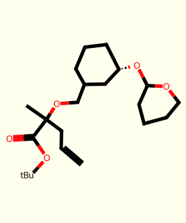 C=CCC(C)(OCC1CCC[C@H](OC2CCCCO2)C1)C(=O)OC(C)(C)C